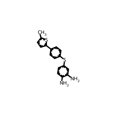 Cc1ccc(-c2ccc(Sc3ccc(N)c(N)c3)cc2)s1